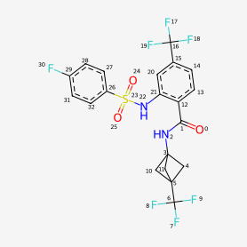 O=C(NC12CC(C(F)(F)F)(C1)C2)c1ccc(C(F)(F)F)cc1NS(=O)(=O)c1ccc(F)cc1